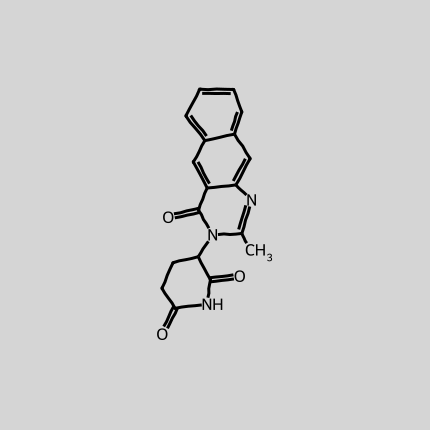 Cc1nc2cc3ccccc3cc2c(=O)n1C1CCC(=O)NC1=O